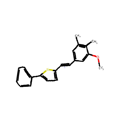 COc1cc(/C=C/c2ccc(-c3ccccc3)s2)cc(C)c1C